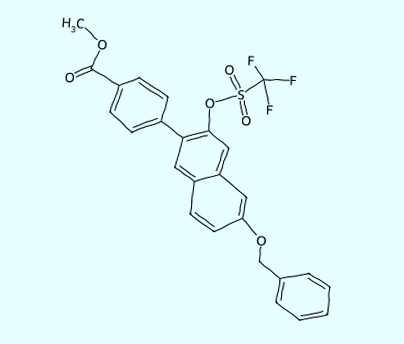 COC(=O)c1ccc(-c2cc3ccc(OCc4ccccc4)cc3cc2OS(=O)(=O)C(F)(F)F)cc1